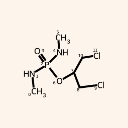 CNP(=O)(NC)OC(CCl)CCl